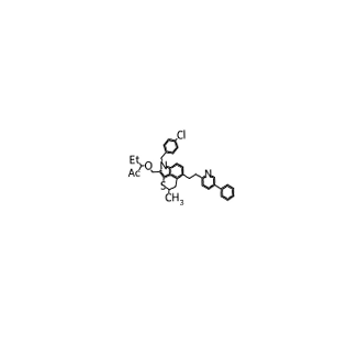 CCC(OCc1c2c3c(c(CCc4ccc(-c5ccccc5)cn4)ccc3n1Cc1ccc(Cl)cc1)CC(C)S2)C(C)=O